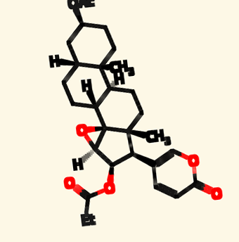 CCC(=O)O[C@H]1[C@H]2O[C@]23[C@@H]2CC[C@@H]4C[C@@H](OC(C)=O)CC[C@]4(C)[C@H]2CC[C@]3(C)[C@H]1c1ccc(=O)oc1